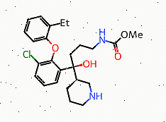 CCc1ccccc1Oc1c(Cl)cccc1[C@](O)(CCCNC(=O)OC)[C@@H]1CCCNC1